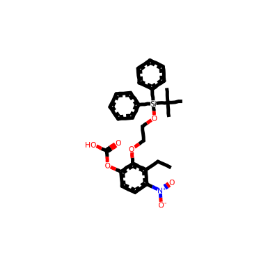 CCc1c([N+](=O)[O-])ccc(OC(=O)O)c1OCCO[Si](c1ccccc1)(c1ccccc1)C(C)(C)C